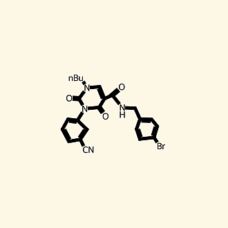 CCCCn1cc(C(=O)NCc2ccc(Br)cc2)c(=O)n(-c2cccc(C#N)c2)c1=O